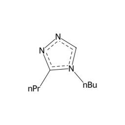 CCCCn1cnnc1CCC